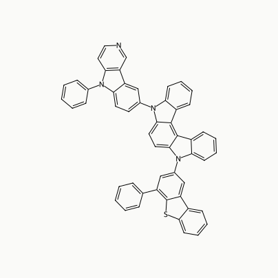 c1ccc(-c2cc(-n3c4ccccc4c4c5c6ccccc6n(-c6ccc7c(c6)c6cnccc6n7-c6ccccc6)c5ccc43)cc3c2sc2ccccc23)cc1